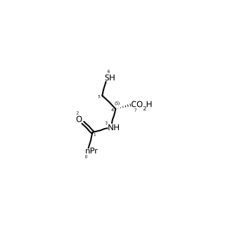 CCCC(=O)N[C@H](CS)C(=O)O